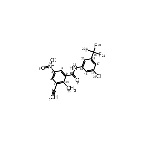 C#Cc1cc([N+](=O)[O-])cc(C(=O)Nc2cc(Cl)cc(C(F)(F)F)c2)c1C